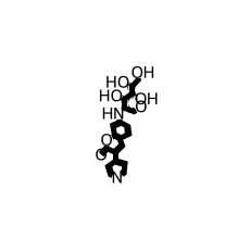 O=C[C@H](Nc1ccc2cc(-c3ccncc3)c(=O)oc2c1)[C@@H](O)[C@H](O)[C@H](O)CO